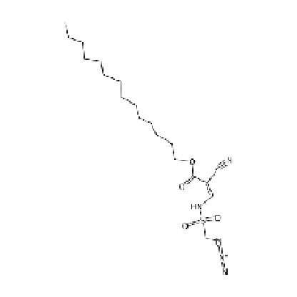 CCCCCCCCCCCCCCOC(=O)/C(C#N)=C\NS(=O)(=O)CN=[N+]=[N-]